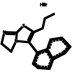 Br.CCCC1=C(c2cccc3ccccc23)N2CCN=C2S1